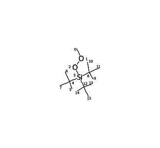 COO[Si](C(C)(C)C)(C(C)(C)C)C(C)(C)C